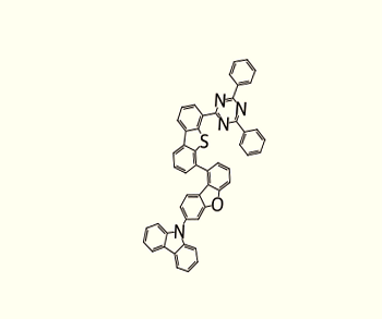 c1ccc(-c2nc(-c3ccccc3)nc(-c3cccc4c3sc3c(-c5cccc6oc7cc(-n8c9ccccc9c9ccccc98)ccc7c56)cccc34)n2)cc1